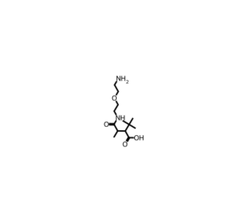 CC(C(=O)NCCOCCN)C(C(=O)O)C(C)(C)C